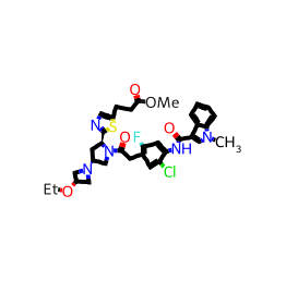 CCOC1CN([C@H]2C[C@@H](c3ncc(CCC(=O)OC)s3)N(C(=O)Cc3cc(Cl)c(NC(=O)c4cn(C)c5ccccc45)cc3F)C2)C1